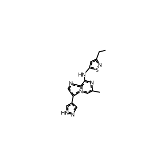 CCc1cc(Nc2nc(C)cn3c(-c4cn[nH]c4)cnc23)sn1